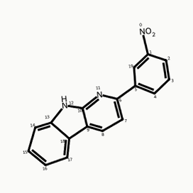 O=[N+]([O-])c1cccc(-c2ccc3c(n2)[nH]c2ccccc23)c1